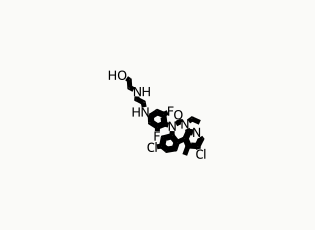 CCN1C(=O)N(c2c(F)cc(NCCNCCO)cc2F)c2cc(Cl)ccc2-c2c1ncc(Cl)c2C